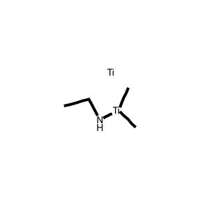 CC[NH][Ti]([CH3])[CH3].[Ti]